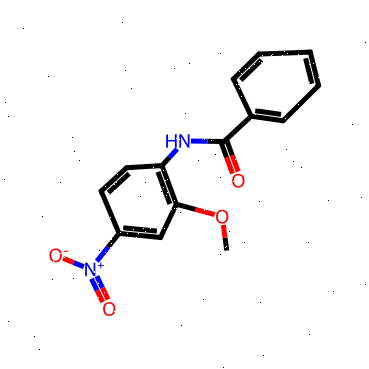 COc1cc([N+](=O)[O-])ccc1NC(=O)c1ccccc1